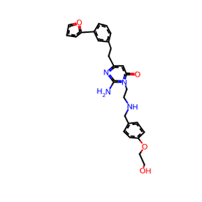 Nc1nc(CCc2cccc(-c3ccco3)c2)cc(=O)n1CCNCc1ccc(OCCO)cc1